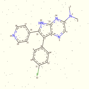 CN(C)c1cnc2c(-c3ccc(F)cc3)c(-c3ccncc3)[nH]c2n1